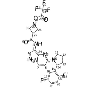 O=C(Nc1cnn2ccc(N3CCCC3c3cc(F)ccc3Cl)nc12)C1CN(OC(=O)C(F)(F)F)C1